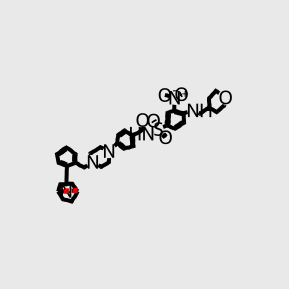 O=C(NS(=O)(=O)c1ccc(NCC2CCOCC2)c([N+](=O)[O-])c1)c1ccc(N2CCN(Cc3ccccc3N3CC4CCC(CC4)C3)CC2)cc1